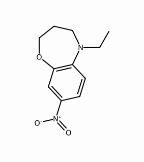 CCN1CCCOc2cc([N+](=O)[O-])ccc21